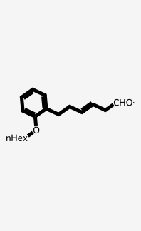 CCCCCCOc1ccccc1CCC=CC[C]=O